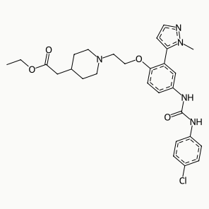 CCOC(=O)CC1CCN(CCOc2ccc(NC(=O)Nc3ccc(Cl)cc3)cc2-c2ccnn2C)CC1